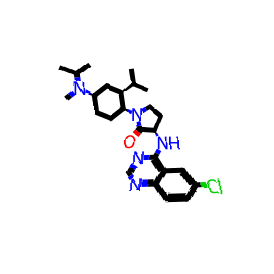 CC(C)[C@@H]1C[C@H](N(C)C(C)C)CC[C@@H]1N1CC[C@H](Nc2ncnc3ccc(Cl)cc23)C1=O